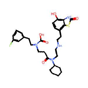 O=C(O)N(CCC(=O)N(CCNCCc1ccc(O)c2[nH]c(=O)sc12)C1CCCCC1)CCc1cccc(F)c1